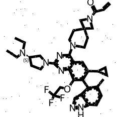 C=CC(=O)N1CC2(CCN(c3nc(N4CC[C@H](N(CC)CC)C4)nc4c(OCC(F)(F)F)c(-c5c(C)ccc6[nH]ncc56)c(C5CC5)cc34)CC2)C1